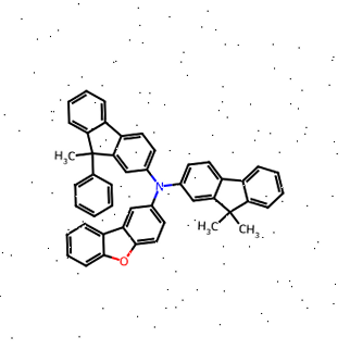 CC1(C)c2ccccc2-c2ccc(N(c3ccc4c(c3)C(C)(c3ccccc3)c3ccccc3-4)c3ccc4oc5ccccc5c4c3)cc21